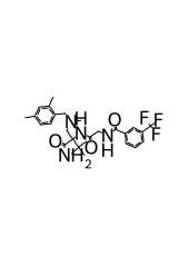 Cc1ccc(CN(C)CC(NC(=O)CNC(=O)c2cccc(C(F)(F)F)c2)(C(N)=O)C(C)(C)C)c(C)c1